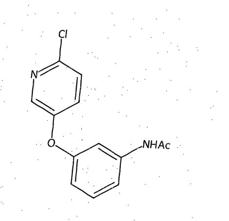 CC(=O)Nc1cccc(Oc2ccc(Cl)nc2)c1